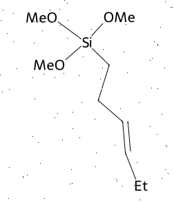 CCC=CCC[Si](OC)(OC)OC